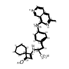 Cc1cc2ccncc2c(Nc2ccc(C[C@H](NC3=CC(=O)C34CCCCC4)C(=O)O)cc2)n1